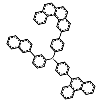 c1cc(-c2ccc3ccccc3c2)cc(N(c2ccc(-c3ccc4ccc5ccc6ccccc6c5c4c3)cc2)c2ccc(-c3cc4ccccc4c4ccccc34)cc2)c1